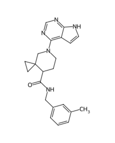 Cc1cccc(CNC(=O)C2CCN(c3ncnc4[nH]ccc34)CC23CC3)c1